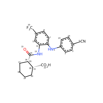 N#Cc1ccc(Nc2ccc(C(F)(F)F)cc2NC(=O)[C@H]2CCCC[C@H]2C(=O)O)cc1